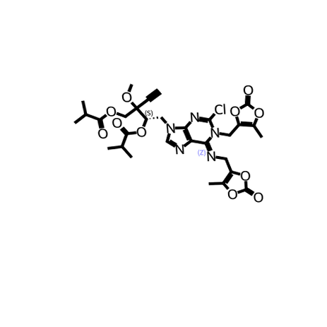 C#CC(COC(=O)C(C)C)(OC)[C@H](Cn1cnc2/c(=N/Cc3oc(=O)oc3C)n(Cc3oc(=O)oc3C)c(Cl)nc21)OC(=O)C(C)C